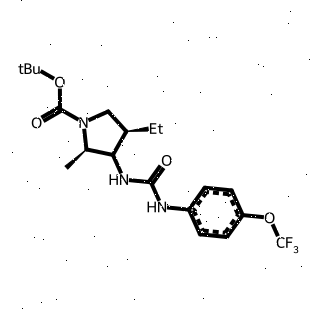 CC[C@@H]1CN(C(=O)OC(C)(C)C)[C@H](C)C1NC(=O)Nc1ccc(OC(F)(F)F)cc1